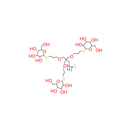 CC(=S)NCC(COCCCS[C@@H]1OC(CO)[C@@H](O)C(O)C1O)(COCCCS[C@@H]1OC(CO)[C@@H](O)C(O)[C@@H]1O)COCCCS[C@@H]1OC(CO)[C@@H](O)C(O)[C@@H]1O